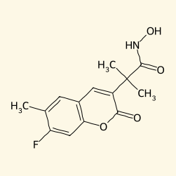 Cc1cc2cc(C(C)(C)C(=O)NO)c(=O)oc2cc1F